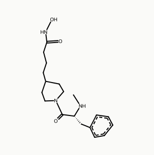 CN[C@H](Cc1ccccc1)C(=O)N1CCC(CCCC(=O)NO)CC1